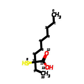 CCCCCCCC(S)(CC)C(=O)O